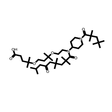 CC(C)CC(=O)CC(C)(C)CC(C)(C)C(=O)N(CCOC(C)(C)CCOC(C)(C)CCC(=O)O)C1CCN(C(=O)C(C)(C)CC(C)(C)C)CC1